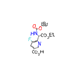 CCOC(=O)C(NC(=O)OC(C)(C)C)c1ncc(C(=O)O)cc1F